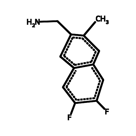 Cc1cc2cc(F)c(F)cc2cc1CN